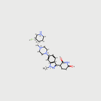 Cn1nc(C2CCC(=O)NC2=O)c2ccc(N3CCN(C[C@H]4CCNC[C@H]4F)CC3)cc21